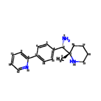 C[C@@]1([C@@H](N)c2ccc(-c3ccccn3)cc2)CCCCN1